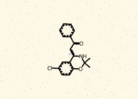 CC1(C)N/C(=C\C(=O)c2ccccc2)c2cc(Cl)ccc2O1